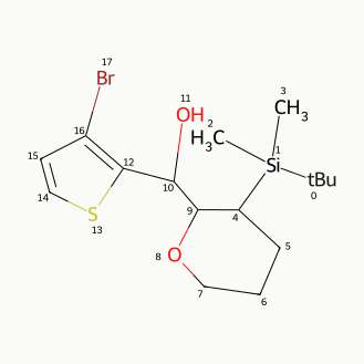 CC(C)(C)[Si](C)(C)C1CCCOC1C(O)c1sccc1Br